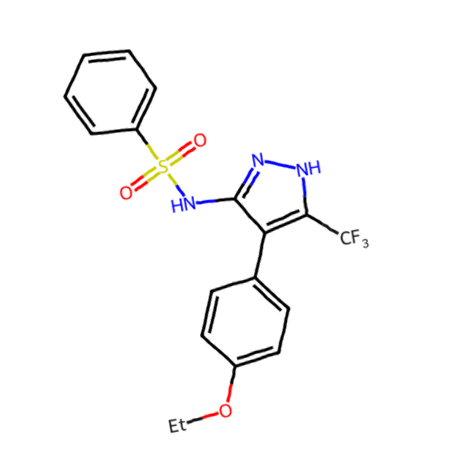 CCOc1ccc(-c2c(NS(=O)(=O)c3ccccc3)n[nH]c2C(F)(F)F)cc1